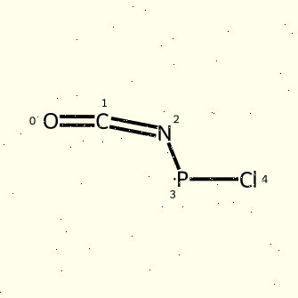 O=C=N[P]Cl